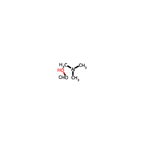 O=CO.[CH3][Al]([CH3])[CH3]